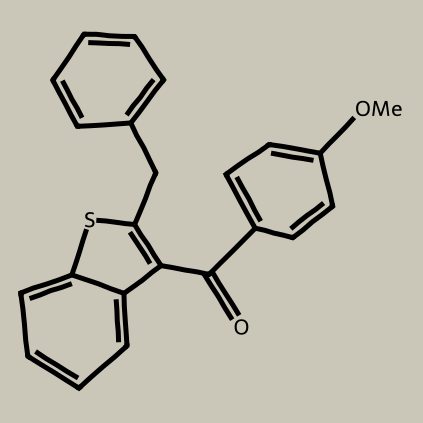 COc1ccc(C(=O)c2c(Cc3ccccc3)sc3ccccc23)cc1